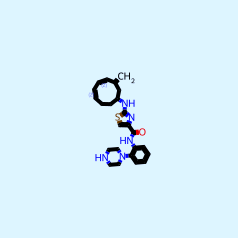 C=C1/C=C\C=C/CCC(Nc2nc(C(=O)Nc3ccccc3N3CCNCC3)cs2)C1